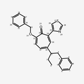 CCC(Cc1ccccc1)c1ccc(OCc2ccccc2)c(=O)c(-c2cscn2)c1